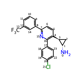 N[C@H]1C[C@@H]1c1ccc(-c2cccc(C(F)(F)F)c2)nc1-c1ccc(Cl)cc1